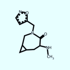 CNC1CC2CC2CN(Cc2ccno2)C1=O